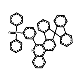 O=P(c1ccccc1)(c1ccccc1)c1cccc(-c2nc3ccccc3c3ccc4c(c23)-c2ccccc2C42c3ccccc3-c3ccccc32)c1